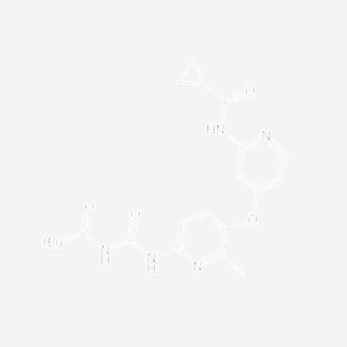 Cc1nc(NC(=O)NC(=O)C(C)(C)C)ccc1Oc1ccnc(NC(=O)C2CC2)c1